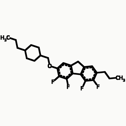 CCCc1cc2c(c(F)c1F)-c1c(cc(OCC3CCC(CCC)CC3)c(F)c1F)C2